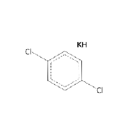 Clc1ccc(Cl)cc1.[KH]